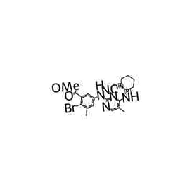 COC(=O)c1cc(Nc2ncc(C)c(N[C@@H]3CCCC[C@H]3C#N)n2)cc(C)c1Br